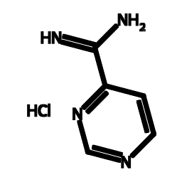 Cl.N=C(N)c1ccncn1